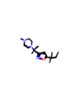 CCC(C)(C)c1cc(C(C)(C)N2CCN(C)CC2)no1